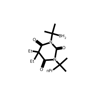 BC(C)(C)N1C(=O)N(C(C)(C)CCC)C(=O)C(CC)(CC)C1=O